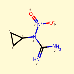 N=C(N)N(C1CC1)[N+](=O)[O-]